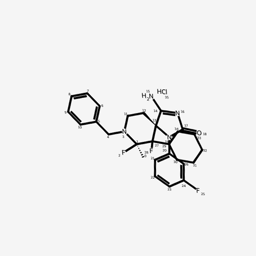 C[C@]1(F)N(Cc2ccccc2)CC[C@]2(C(N)=NC(=O)N2c2cccc(F)c2)C1(F)C1CCCCC1.Cl